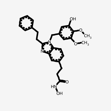 COc1cc(Cn2c(CCc3ccccc3)nc3cc(CCC(=O)NO)ccc32)cc(O)c1OC